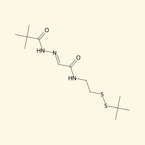 CC(C)(C)SSCCNC(=O)/C=N/NC(=O)C(C)(C)C